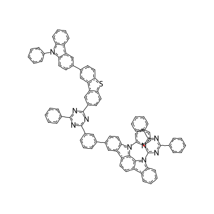 c1ccc(-c2nc(-c3cccc(-c4ccc5c(c4)c4ccc6c7ccccc7n(-c7nc(-c8ccccc8)nc(-c8ccccc8)n7)c6c4n5-c4ccccc4)c3)nc(-c3ccc4sc5ccc(-c6ccc7c(c6)c6ccccc6n7-c6ccccc6)cc5c4c3)n2)cc1